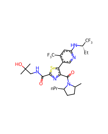 CCCC1CCC(C)N1C(=O)c1nc(C(=O)NCC(C)(C)O)sc1-c1cnc(N[C@@H](CC)C(F)(F)F)cc1C(F)(F)F